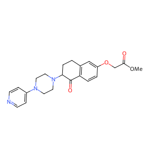 COC(=O)COc1ccc2c(c1)CCC(N1CCN(c3ccncc3)CC1)C2=O